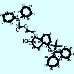 CC(C)(C)[Si](Oc1cccc2c1CC[C@@H](O)[C@@H]2CCOC(=O)N(c1ccccc1)c1ccccc1)(c1ccccc1)c1ccccc1